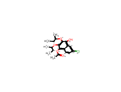 CCC(C)Oc1c(OC(C)CC)c(OC(C)=O)c2ccc(Cl)cc2c1O